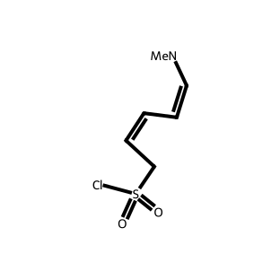 CN/C=C\C=C/CS(=O)(=O)Cl